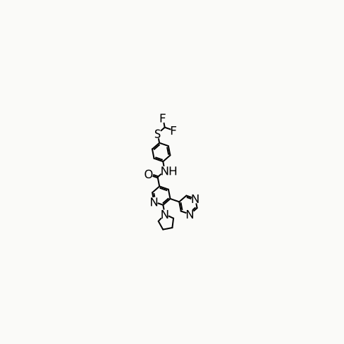 O=C(Nc1ccc(SC(F)F)cc1)c1cnc(N2CCCC2)c(-c2cncnc2)c1